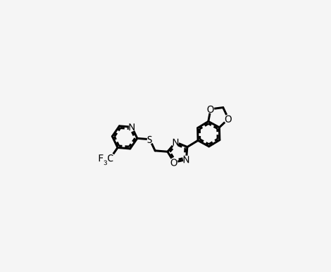 FC(F)(F)c1ccnc(SCc2nc(-c3ccc4c(c3)OCO4)no2)c1